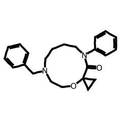 O=C1N(c2ccccc2)CCCCN(Cc2ccccc2)CCOC12CC2